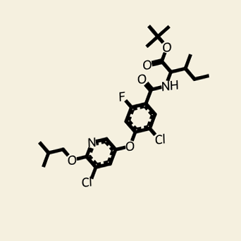 CCC(C)C(NC(=O)c1cc(Cl)c(Oc2cnc(OCC(C)C)c(Cl)c2)cc1F)C(=O)OC(C)(C)C